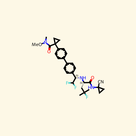 CON(C)C(=O)C1(c2ccc(-c3ccc([C@H](N[C@@H](CC(C)(C)F)C(=O)NC4(C#N)CC4)C(F)F)cc3)cc2)CC1